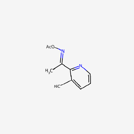 CC(=O)O/N=C(\C)c1ncccc1C#N